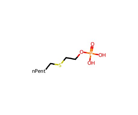 CCCCCCSCCOP(=O)(O)O